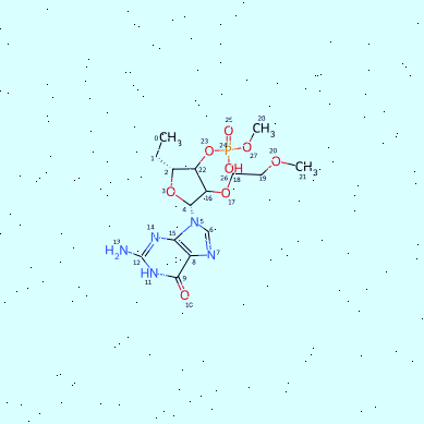 CC[C@H]1O[C@@H](n2cnc3c(=O)[nH]c(N)nc32)C(OCCOC)C1OP(=O)(O)OC